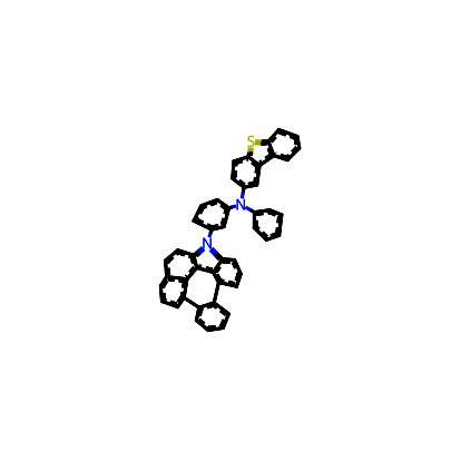 c1ccc(N(c2cccc(-n3c4cccc5c4c4c6c(cccc6ccc43)-c3ccccc3-5)c2)c2ccc3sc4ccccc4c3c2)cc1